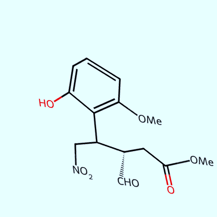 COC(=O)C[C@H](C=O)C(C[N+](=O)[O-])c1c(O)cccc1OC